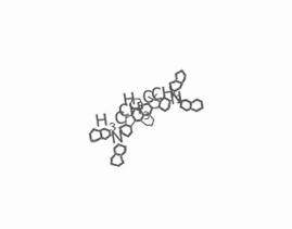 CC1(C)c2cc(N(c3ccc4ccccc4c3)c3ccc4ccccc4c3)ccc2-c2c1c1c3c(c4c(c5c3c2CCC5)-c2ccc(N(c3ccc5ccccc5c3)c3ccc5ccccc5c3)cc2C4(C)C)CCC1